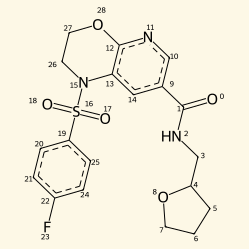 O=C(NCC1CCCO1)c1cnc2c(c1)N(S(=O)(=O)c1ccc(F)cc1)CCO2